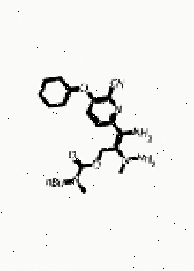 CCCCN(C)C(=O)OC/C(=C(/N)c1ccc(OC2CCCCC2)c(C#N)n1)N(C)N